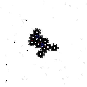 c1ccc(-c2cccc(-c3ccccc3N(c3cccc(-c4ccccc4)c3)c3ccc4c(c3)C3(c5ccccc5-4)c4ccccc4-n4c5ccccc5c5cccc3c54)c2)cc1